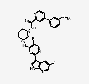 CCOc1cccc(-c2ccnc(C(=O)N[C@H]3CCC[C@@H](Nc4nc(-c5c[nH]c6ncc(F)cc56)ncc4F)C3)c2)c1